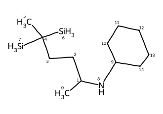 CC(CCC(C)([SiH3])[SiH3])NC1CCCCC1